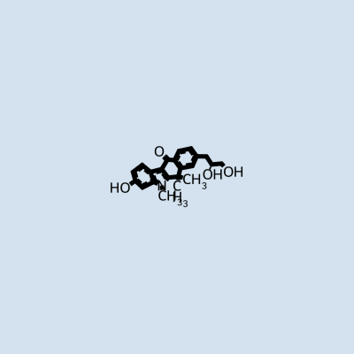 Cn1c2c(c3ccc(O)cc31)C(=O)c1ccc(C[C@@H](O)CO)cc1C2(C)C